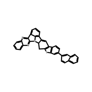 C1=C2c3cccc4c5nc6ccccc6nc5n(c34)C2Cc2sc3cc(-c4ccc5ccccc5c4)ccc3c21